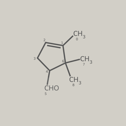 CC1=CCC(C=O)C1(C)C